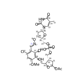 COc1cc(Cl)c(/C=N/O[C@@H]2C[C@H](n3cc(C)c(=O)[nH]c3=O)O[C@@H]2COP(=O)(O)OC[C@@H]2CC(OC(C)=O)OC2C)c(Cl)c1O